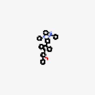 c1ccc(-c2nc3cccc4c3n2-c2ccc(-c3c5ccccc5c(-c5ccc6c(c5)oc5ccccc56)c5ccccc35)cc2N4c2ccccc2)cc1